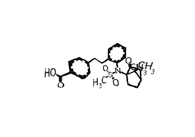 CC1(C)C2CCC1(N(c1ccccc1CCc1ccc(C(=O)O)cc1)S(C)(=O)=O)C(=O)C2